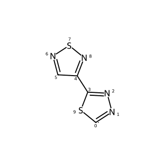 [c]1nnc(-c2cnsn2)s1